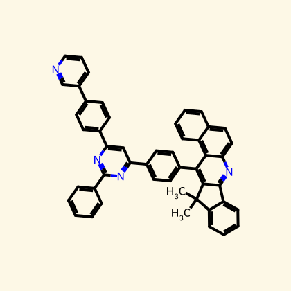 CC1(C)c2ccccc2-c2nc3ccc4ccccc4c3c(-c3ccc(-c4cc(-c5ccc(-c6cccnc6)cc5)nc(-c5ccccc5)n4)cc3)c21